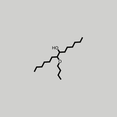 CCCCCCC(O)C(CCCCCC)OCCCC